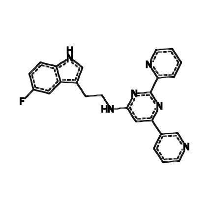 Fc1ccc2[nH]cc(CCNc3cc(-c4cccnc4)nc(-c4ccccn4)n3)c2c1